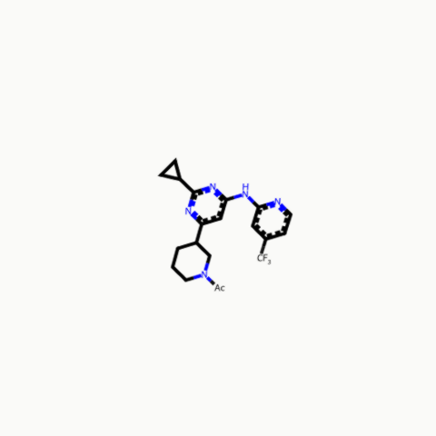 CC(=O)N1CCCC(c2cc(Nc3cc(C(F)(F)F)ccn3)nc(C3CC3)n2)C1